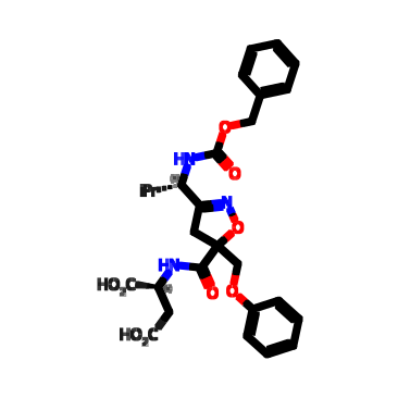 CC(C)[C@H](NC(=O)OCc1ccccc1)C1=NOC(COc2ccccc2)(C(=O)N[C@@H](CC(=O)O)C(=O)O)C1